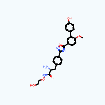 COc1ccc(-c2nc(-c3ccc(C[C@H](N)C(=O)NOCCO)cc3)no2)cc1-c1ccc(O)cc1